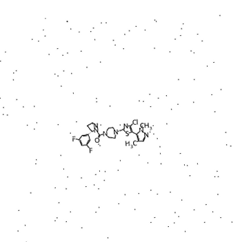 Cc1cnn(C)c1-c1sc(N2CCN(C(=O)N3N=CC[C@H]3c3cc(F)cc(F)c3)CC2)nc1Cl